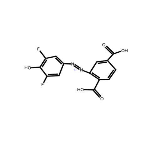 O=C(O)c1ccc(C(=O)O)c(/N=N/c2cc(F)c(O)c(F)c2)c1